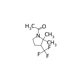 CC(=O)N1CCC(C(F)(F)F)C1(C)C